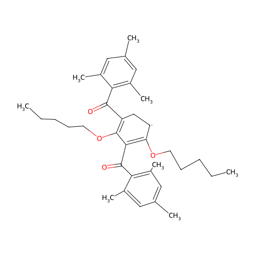 CCCCCOC1=C(C(=O)c2c(C)cc(C)cc2C)C(OCCCCC)=C(C(=O)c2c(C)cc(C)cc2C)C[CH]1